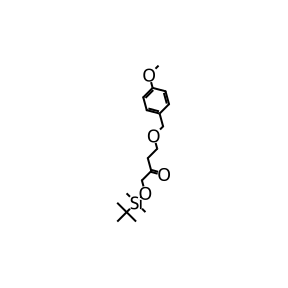 COc1ccc(COCCC(=O)CO[Si](C)(C)C(C)(C)C)cc1